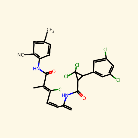 C=C(/C=C\C(Cl)=C(/C)C(=O)Nc1ccc(C(F)(F)F)cc1C#N)NC(=O)C1C(c2cc(Cl)cc(Cl)c2)C1(Cl)Cl